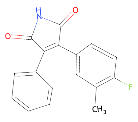 Cc1cc(C2=C(c3ccccc3)C(=O)NC2=O)ccc1F